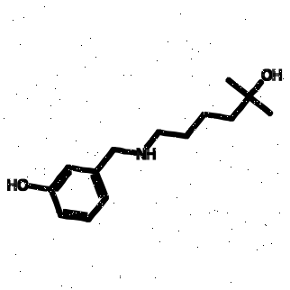 CC(C)(O)CCCCNCc1cccc(O)c1